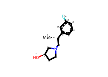 CN[C@@H](CN1CC[C@@H](O)C1)c1cccc(F)c1